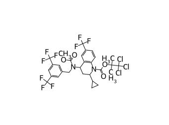 COC(=O)N(Cc1cc(C(F)(F)F)cc(C(F)(F)F)c1)C1CC(C2CC2)N(C(=O)OC(C)(C)C(Cl)(Cl)Cl)c2ccc(C(F)(F)F)cc21